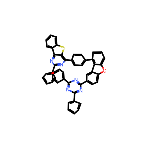 c1ccc(-c2nc(-c3ccccc3)nc(-c3ccc4oc5cccc(-c6ccc(-c7nc(-c8ccccc8)nc8c7sc7ccccc78)cc6)c5c4c3)n2)cc1